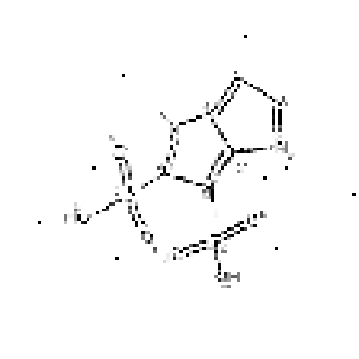 O=S(=O)(O)C1=NC2=CC=NC2=C1S(=O)(=O)O